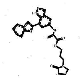 O=C(NCCCN1CCCC1=O)C(=O)Nc1cc(-c2cc3ccccc3s2)c2[nH]ncc2c1